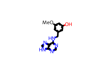 COc1cc(O)cc(CNc2ncnc3[nH]cnc23)c1